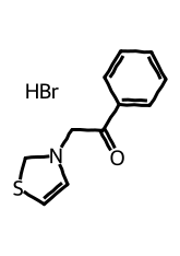 Br.O=C(CN1C=CSC1)c1ccccc1